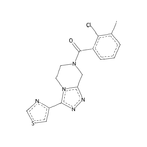 Cc1cccc(C(=O)N2CCn3c(nnc3-c3cscn3)C2)c1Cl